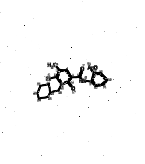 CCc1c(C)cc(C(=O)Nc2ccccc2OC(C)=O)c(=O)n1CC1CCCCC1